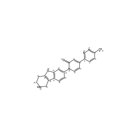 O=c1cc(-c2ccc(C(F)(F)F)nn2)ccn1-c1ccc2c3c(oc2c1)CCNC3